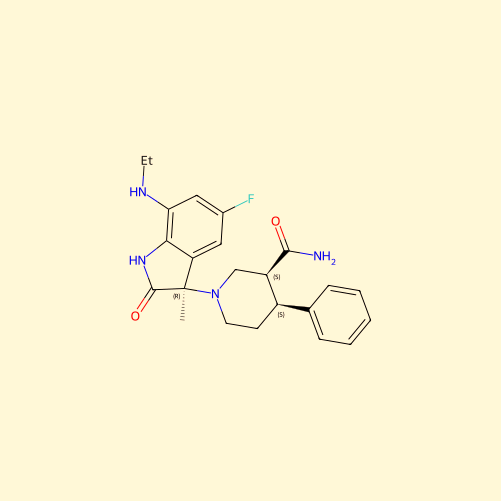 CCNc1cc(F)cc2c1NC(=O)[C@]2(C)N1CC[C@H](c2ccccc2)[C@H](C(N)=O)C1